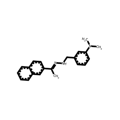 C/C(=N\NCc1cccc(N(C)C)c1)c1ccc2ccccc2c1